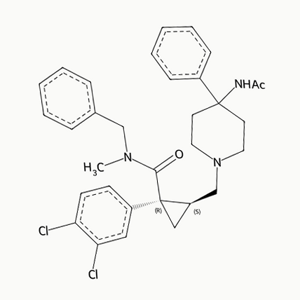 CC(=O)NC1(c2ccccc2)CCN(C[C@H]2C[C@]2(C(=O)N(C)Cc2ccccc2)c2ccc(Cl)c(Cl)c2)CC1